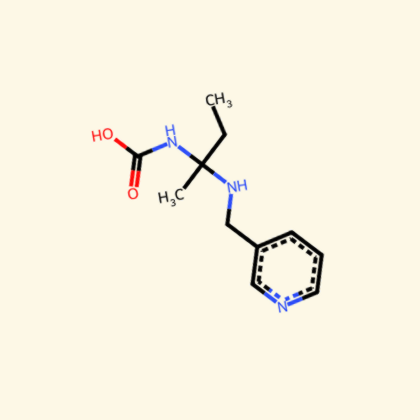 CCC(C)(NCc1cccnc1)NC(=O)O